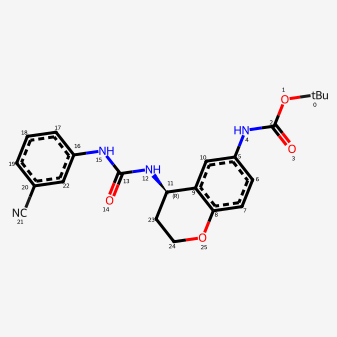 CC(C)(C)OC(=O)Nc1ccc2c(c1)[C@H](NC(=O)Nc1cccc(C#N)c1)CCO2